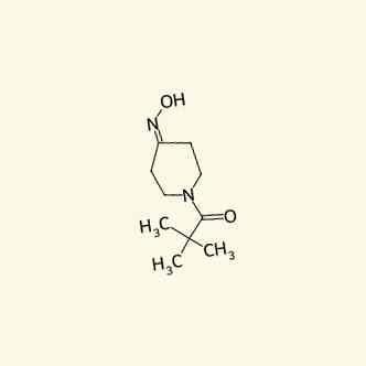 CC(C)(C)C(=O)N1CCC(=NO)CC1